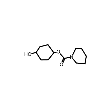 O=C(OC1CCC(O)CC1)N1CCCCC1